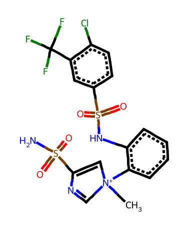 C[N+]1(c2ccccc2NS(=O)(=O)c2ccc(Cl)c(C(F)(F)F)c2)C=NC(S(N)(=O)=O)=C1